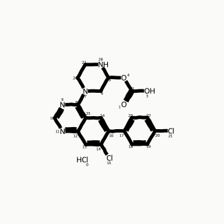 Cl.O=C(O)OC1CN(c2ncnc3cc(Cl)c(-c4ccc(Cl)cc4)cc23)CCN1